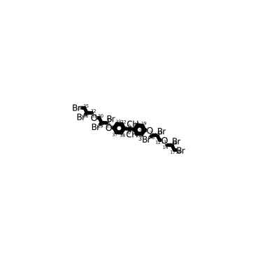 CC(C)(c1ccc(OC(Br)C(Br)COCC(Br)CBr)cc1)c1ccc(OC(Br)C(Br)COCC(Br)CBr)cc1